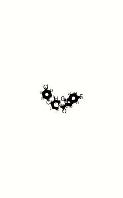 Cn1c(C(=O)N2CCC(Oc3ccc(Cl)cc3)CC2)cc2cc(F)ccc21